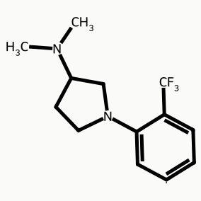 CN(C)C1CCN(c2c[c]ccc2C(F)(F)F)C1